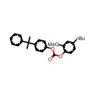 CCCCc1ccc(OC(=O)Oc2ccc(C(C)(C)c3ccccc3)cc2)c(OC)c1